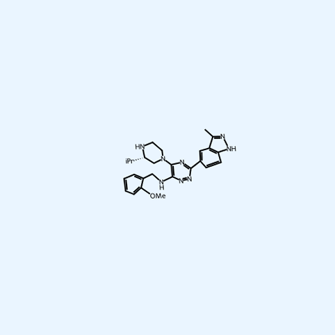 COc1ccccc1CNc1nnc(-c2ccc3[nH]nc(C)c3c2)nc1N1CCN[C@@H](C(C)C)C1